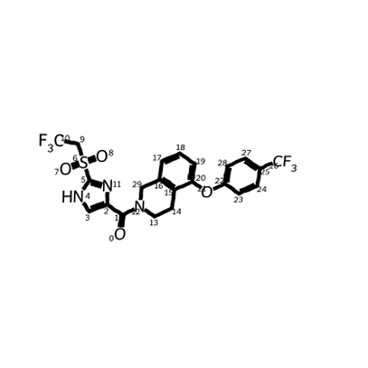 O=C(c1c[nH]c(S(=O)(=O)CC(F)(F)F)n1)N1CCc2c(cccc2Oc2ccc(C(F)(F)F)cc2)C1